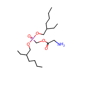 CCCCC(CC)COP(=O)(COC(=O)CN)OCC(CC)CCCC